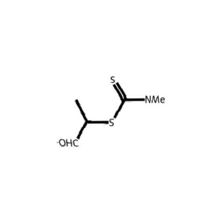 CNC(=S)SC(C)[C]=O